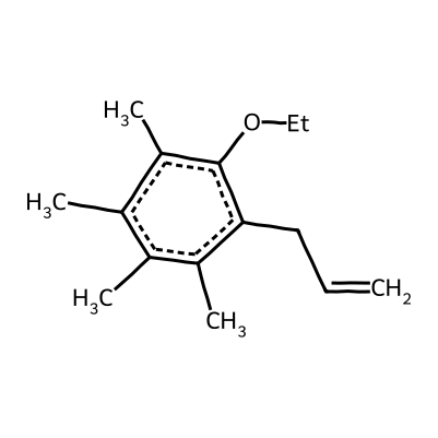 C=CCc1c(C)c(C)c(C)c(C)c1OCC